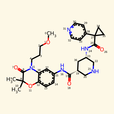 COCCCN1C(=O)C(C)(C)Oc2ccc(NC(=O)[C@H]3CNC[C@@H](NC(=O)C4(c5ccncc5)CC4)C3)cc21